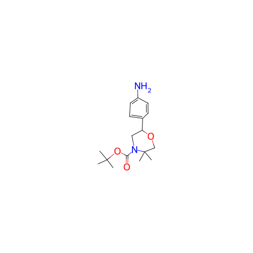 CC(C)(C)OC(=O)N1CC(c2ccc(N)cc2)OCC1(C)C